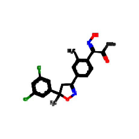 COC(=O)C(=NO)c1ccc(C2=NOC(c3cc(Cl)cc(Cl)c3)(C(F)(F)F)C2)cc1C